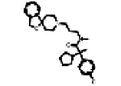 CN(CCCN1CCC2(CC1)OCc1ccccc12)C(=O)C(C)(c1ccc(Cl)cc1)C1CCCC1